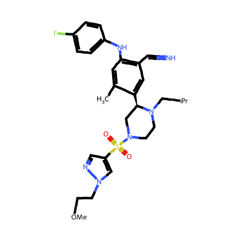 COCCn1cc(S(=O)(=O)N2CCN(CC(C)C)[C@H](c3cc(C=N)c(Nc4ccc(F)cc4)cc3C)C2)cn1